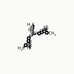 C=COCC(COC(COc1ccc2cc(-c3ccc(C)cc3OC(F)(F)F)c(=O)oc2c1)COc1ccc2cc(-c3ccc(C)cc3OC(F)(F)F)c(=O)oc2c1)C(F)(F)F